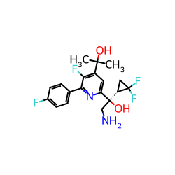 CC(C)(O)c1cc(C(O)(CN)[C@@H]2CC2(F)F)nc(-c2ccc(F)cc2)c1F